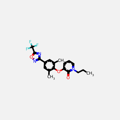 CCCn1cccc(Oc2c(C)cc(-c3noc(C(F)(F)F)n3)cc2C)c1=O